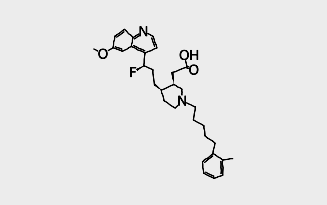 COc1ccc2nccc([C@H](F)CC[C@@H]3CCN(CCCCCc4ccccc4C)C[C@@H]3CC(=O)O)c2c1